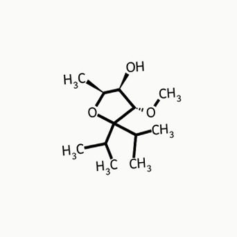 CO[C@H]1[C@H](O)[C@H](C)OC1(C(C)C)C(C)C